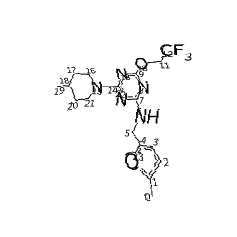 Cc1ccc(CNc2nc(OCC(F)(F)F)nc(N3CCC(C)CC3)n2)o1